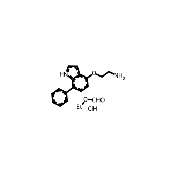 CCOC=O.Cl.NCCOc1ccc(-c2ccccc2)c2[nH]ccc12